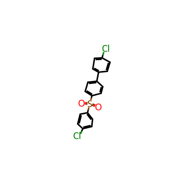 O=S(=O)(c1ccc(Cl)cc1)c1ccc(-c2ccc(Cl)cc2)cc1